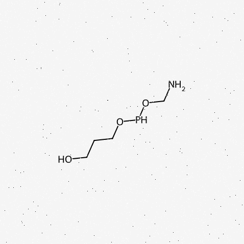 NCOPOCCCO